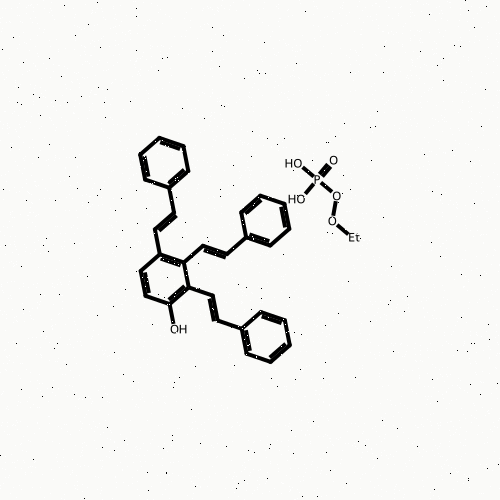 CCOOP(=O)(O)O.Oc1ccc(C=Cc2ccccc2)c(C=Cc2ccccc2)c1C=Cc1ccccc1